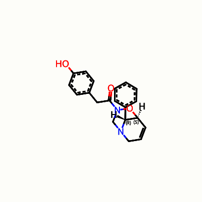 O=C(Cc1ccc(O)cc1)N1CN2CC=C[C@H](O1)[C@H]2c1ccccc1